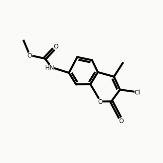 COC(=O)Nc1ccc2c(C)c(Cl)c(=O)oc2c1